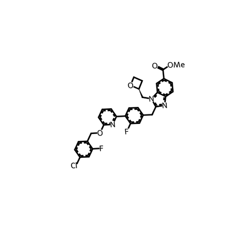 COC(=O)c1ccc2nc(Cc3ccc(-c4cccc(OCc5ccc(Cl)cc5F)n4)c(F)c3)n(C[C@@H]3CCO3)c2c1